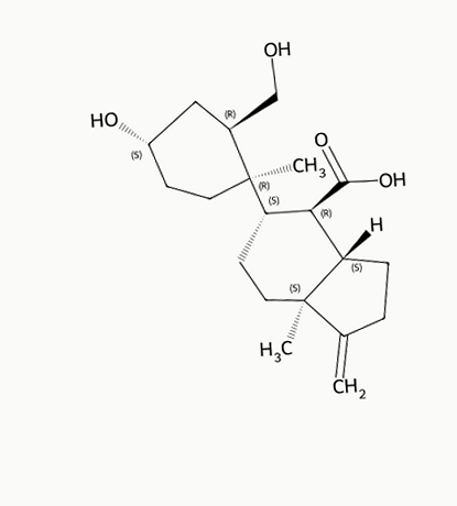 C=C1CC[C@H]2[C@H](C(=O)O)[C@@H]([C@@]3(C)CC[C@H](O)C[C@H]3CO)CC[C@]12C